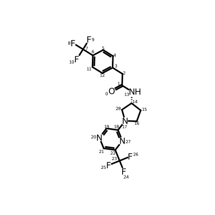 O=C(Cc1ccc(C(F)(F)F)cc1)N[C@@H]1CCN(c2cncc(C(F)(F)F)n2)C1